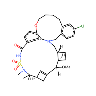 CO[C@H]1C2=C[C@@H](C2)[C@H](C)N(C)S(=O)(=O)NC(=O)c2ccc3c(c2)N(Cc2ccc(Cl)cc2CCCCO3)C[C@@H]2CC[C@H]21